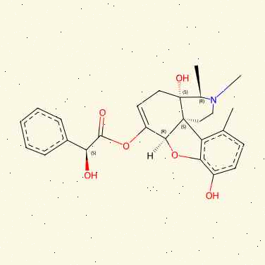 Cc1ccc(O)c2c1[C@]13CCN(C)[C@H](C)[C@]1(O)CC=C(OC(=O)[C@@H](O)c1ccccc1)[C@@H]3O2